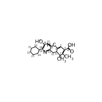 CC1=CC(C(=O)O)=C(C)C(C)C1Cc1ccc(O)c(C2CCCCC2)n1